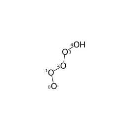 [O]OOOO